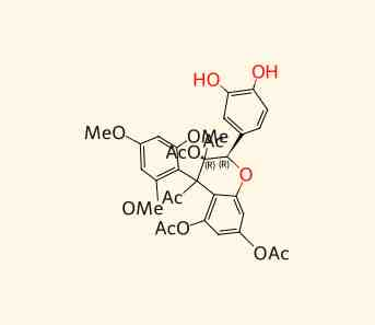 COc1cc(OC)c(C2(C(C)=O)c3c(OC(C)=O)cc(OC(C)=O)cc3O[C@H](c3ccc(O)c(O)c3)[C@@]2(OC(C)=O)C(C)=O)c(OC)c1